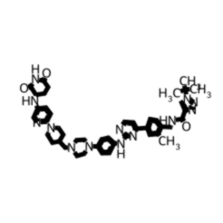 Cc1cc(-c2ccnc(Nc3ccc(N4CCN(CC5CCN(c6ccc(NC7CCC(=O)NC7=O)cn6)CC5)CC4)cc3)n2)ccc1CNC(=O)c1cn(C(C)(C)C)nn1